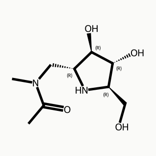 CC(=O)N(C)C[C@H]1N[C@H](CO)[C@@H](O)[C@@H]1O